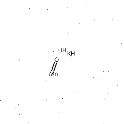 [KH].[LiH].[O]=[Mn]